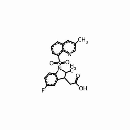 Cc1cnc2c(S(=O)(=O)N3c4ccc(F)cc4C(CC(=O)O)C3C)cccc2c1